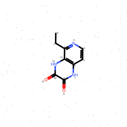 CCc1nccc2[nH]c(=O)c(=O)[nH]c12